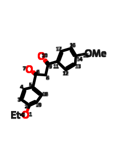 CCOc1ccc(C(=O)CC(=O)c2ccc(OC)cc2)cc1